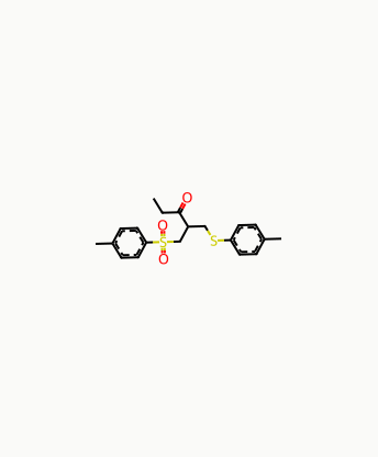 CCC(=O)C(CSc1ccc(C)cc1)CS(=O)(=O)c1ccc(C)cc1